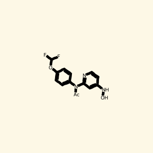 CC(=O)N(c1ccc(OC(F)F)cc1)c1cc(NO)ccn1